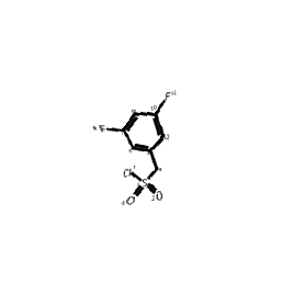 O=S(=O)(Cl)Cc1cc(F)cc(F)c1